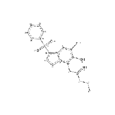 CCCC(=N)Cc1c(O)c(F)cc2c1ccn2S(=O)(=O)c1ccccc1